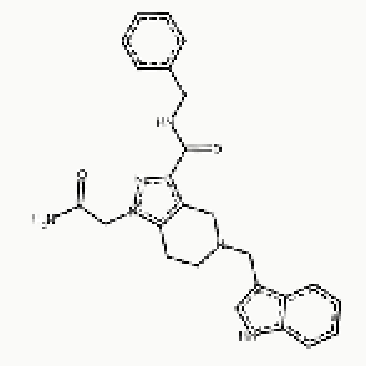 NC(=O)Cn1nc(C(=O)NCc2ccccc2)c2c1CCN(Cc1c[nH]c3ccccc13)C2